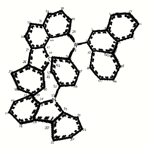 c1ccc2c(c1)cc(N(c1ccc(-n3c4ccccc4c4ccccc43)cc1)c1cccc3ccc4c5ccccc5oc4c13)c1ccccc12